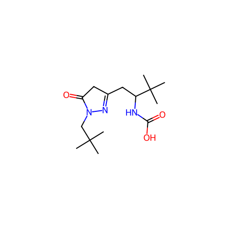 CC(C)(C)CN1N=C(CC(NC(=O)O)C(C)(C)C)CC1=O